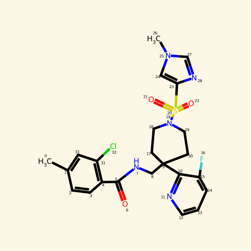 Cc1ccc(C(=O)NCC2(c3ncccc3F)CCN(S(=O)(=O)c3cn(C)cn3)CC2)c(Cl)c1